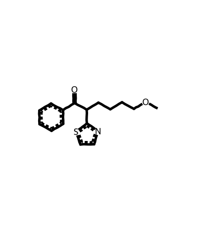 COCCCCC(C(=O)c1ccccc1)c1nccs1